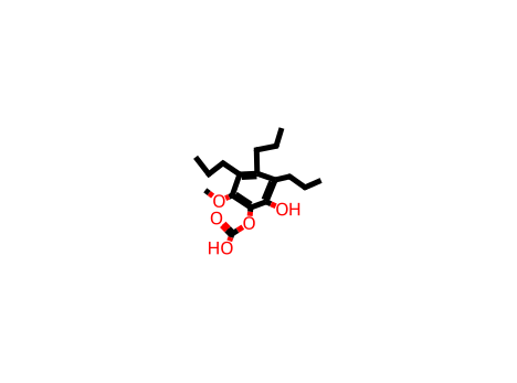 CCCc1c(O)c(OC(=O)O)c(OC)c(CCC)c1CCC